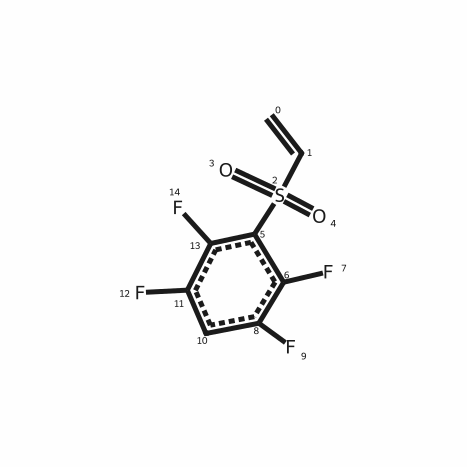 C=CS(=O)(=O)c1c(F)c(F)cc(F)c1F